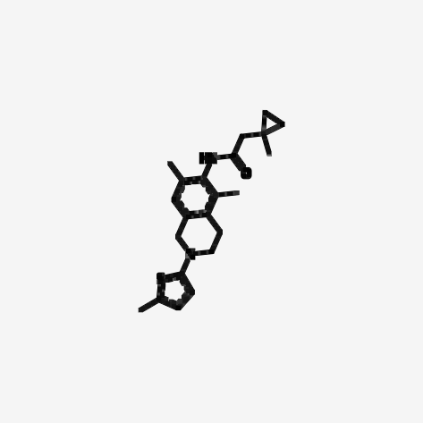 Cc1ccc(N2CCc3c(cc(C)c(NC(=O)CC4(C)CC4)c3C)C2)s1